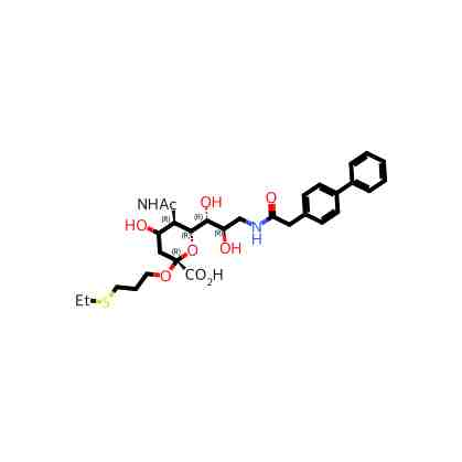 CCSCCCO[C@]1(C(=O)O)CC(O)[C@@H](NC(C)=O)[C@H]([C@H](O)[C@H](O)CNC(=O)Cc2ccc(-c3ccccc3)cc2)O1